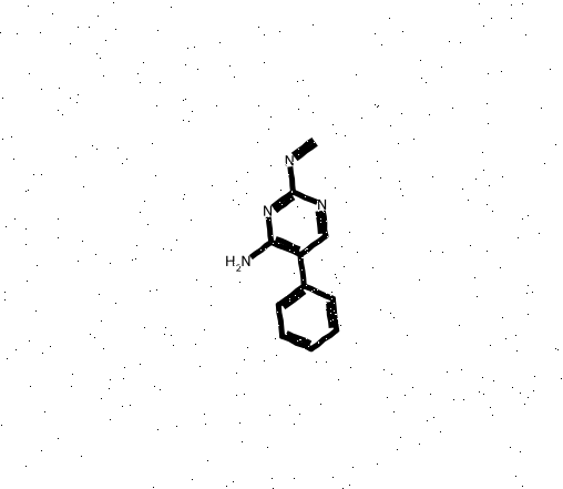 C=Nc1ncc(-c2ccccc2)c(N)n1